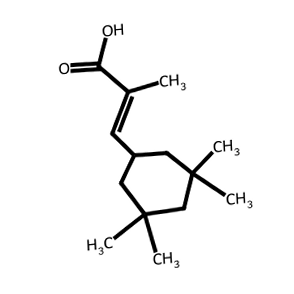 C/C(=C\C1CC(C)(C)CC(C)(C)C1)C(=O)O